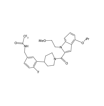 COCCn1c(C(=O)N2CCC(c3cc(CNC(=O)C(F)(F)F)ccc3F)CC2)cc2c(OC(C)C)cccc21